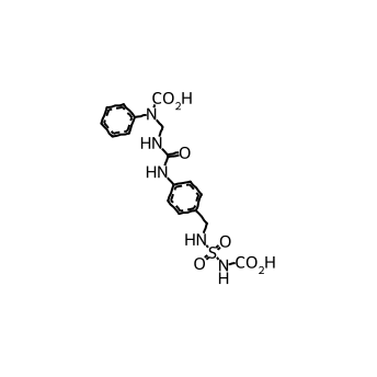 O=C(O)NS(=O)(=O)NCc1ccc(NC(=O)NCN(C(=O)O)c2ccccc2)cc1